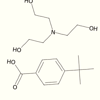 CC(C)(C)c1ccc(C(=O)O)cc1.OCCN(CCO)CCO